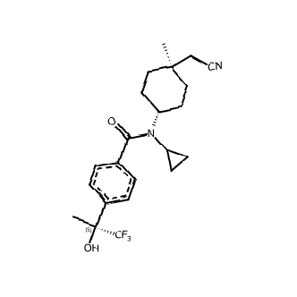 C[C@](O)(c1ccc(C(=O)N(C2CC2)[C@H]2CC[C@](C)(CC#N)CC2)cc1)C(F)(F)F